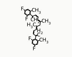 C=C(/C=C\C=C(/C)C/C(C)=C/C=C\C(=C)c1c(C)cc(F)cc1F)c1c(C)cc(F)cc1F